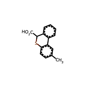 Cc1ccc2c(c1)-c1ccccc1C(C(=O)O)S2